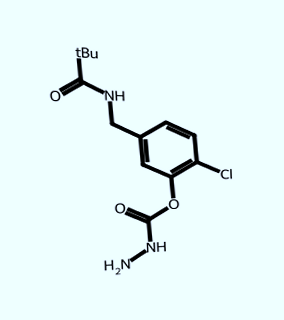 CC(C)(C)C(=O)NCc1ccc(Cl)c(OC(=O)NN)c1